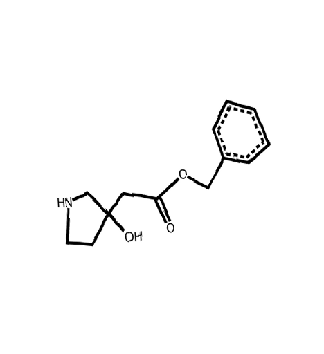 O=C(CC1(O)CCNC1)OCc1ccccc1